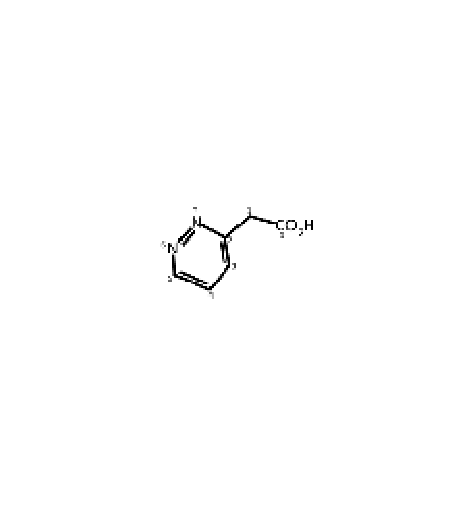 O=C(O)Cc1cccnn1